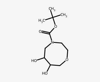 CC(C)(C)OC(=O)N1CCOCC(O)C(O)C1